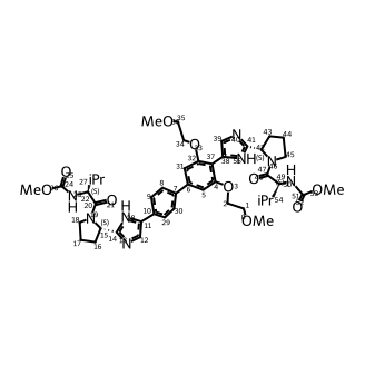 COCCOc1cc(-c2ccc(-c3cnc([C@@H]4CCCN4C(=O)[C@@H](NC(=O)OC)C(C)C)[nH]3)cc2)cc(OCCOC)c1-c1cnc([C@@H]2CCCN2C(=O)[C@@H](NC(=O)OC)C(C)C)[nH]1